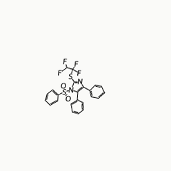 O=S(=O)(c1ccccc1)n1c(SC(F)(F)C(F)F)nc(-c2ccccc2)c1-c1ccccc1